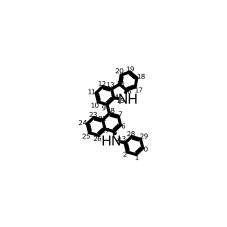 c1ccc(Nc2ccc(-c3cccc4c3[nH]c3ccccc34)c3ccccc23)cc1